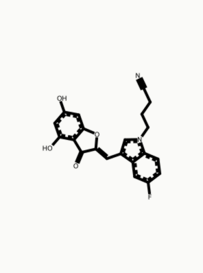 N#CCCCn1cc(C=C2Oc3cc(O)cc(O)c3C2=O)c2cc(F)ccc21